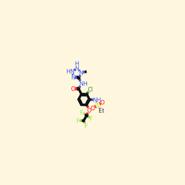 CCS(=O)(=O)Nc1c(OC(F)(F)C(F)F)ccc(C(=O)NC2=NNNN2C)c1Cl